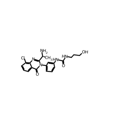 C[C@H](N)c1nc2c(Cl)cccc2c(=O)n1-c1cccc(NC(=O)NCCCO)c1